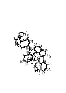 Cn1cnc2cc(-n3c4ccccc4c4c5c6c(ccc5ccc43)-c3ccccc3C6(C)C)ccc21